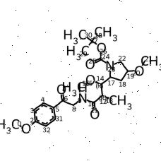 COc1ccc(C(=O)CNC(=O)[C@H](C)[C@@H](OC)C2CC(OC)CN2C(=O)OC(C)(C)C)cc1